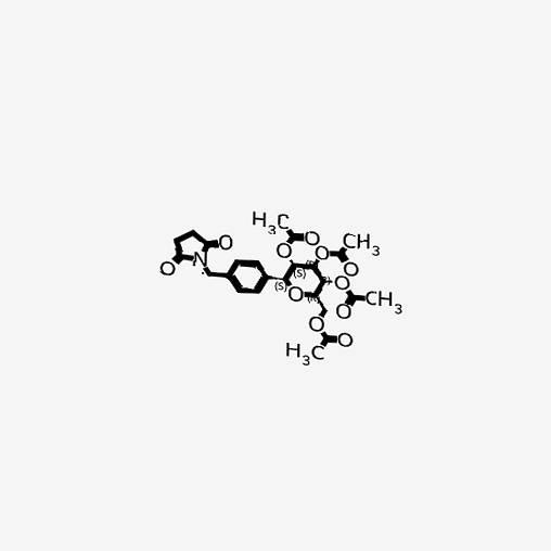 CC(=O)OC[C@H]1O[C@@H](c2ccc([CH]N3C(=O)CCC3=O)cc2)[C@H](OC(C)=O)[C@@H](OC(C)=O)[C@@H]1OC(C)=O